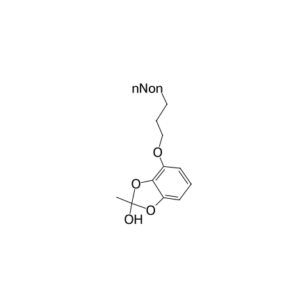 CCCCCCCCCCCCOc1cccc2c1OC(C)(O)O2